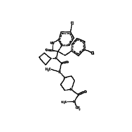 CN(C)C(=O)N1CCC(N(C)C(=O)N(C2CCC2)C2(Cc3cccc(Cl)c3)C(=O)Nc3cc(Cl)ccc32)CC1